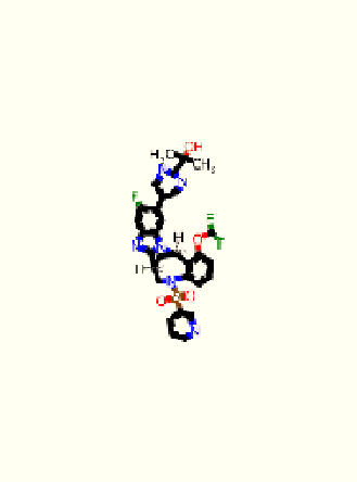 CC(C)(O)c1ncc(-c2cc3c(cc2F)nc2n3[C@@H]3C[C@H]2CN(S(=O)(=O)c2cccnc2)c2cccc(OC(F)F)c23)cn1